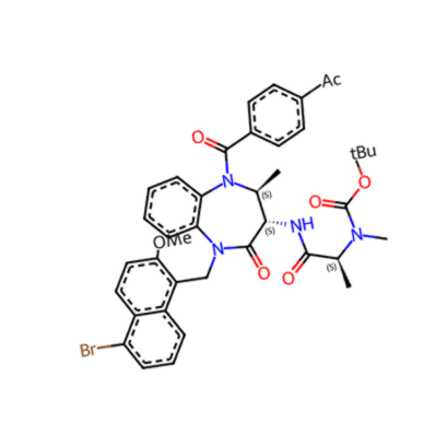 COc1ccc2c(Br)cccc2c1CN1C(=O)[C@@H](NC(=O)[C@H](C)N(C)C(=O)OC(C)(C)C)[C@H](C)N(C(=O)c2ccc(C(C)=O)cc2)c2ccccc21